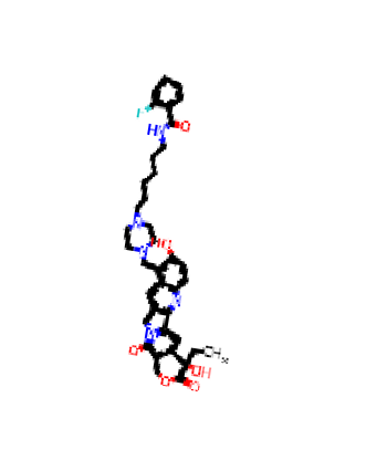 CCC1(O)C(=O)OCc2c1cc1n(c2=O)Cc2cc3c(CN4CCN(CCCCCCNC(=O)c5ccccc5F)CC4)c(O)ccc3nc2-1